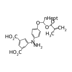 C=C(C)C(=O)OC(CCCCCCC)Oc1ccc(N(N)c2cc(C(=O)O)cc(C(=O)O)c2)cc1